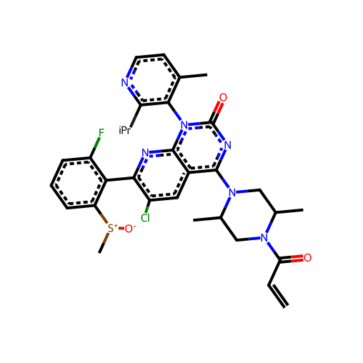 C=CC(=O)N1CC(C)N(c2nc(=O)n(-c3c(C)ccnc3C(C)C)c3nc(-c4c(F)cccc4[S+](C)[O-])c(Cl)cc23)CC1C